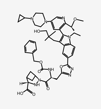 CCn1c(-c2cc(N3CCN(C4CC4)CC3)cnc2[C@H](C)OC)c(CC(C)(C)CO)c2cc(-c3nnc(C[C@H](NC(=O)OCc4ccccc4)C(=O)N4N[C@H](C(=O)O)C5CC4C5)o3)ccc21